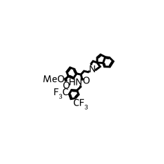 COC(=O)c1cccc(C(CCN2CCC3(C=Cc4ccccc43)CC2)C(=O)NCc2cc(C(F)(F)F)cc(C(F)(F)F)c2)c1